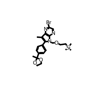 Cc1c(-c2ccc(C3(C)OCCO3)cc2)n(COCC[Si](C)(C)C)c2ncc(Br)nc12